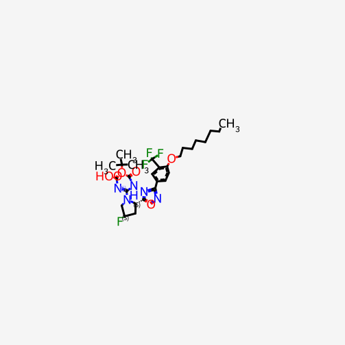 CCCCCCCCOc1ccc(-c2noc([C@@H]3C[C@H](F)CN3/C(=N/C(=O)O)NC(=O)OC(C)(C)C)n2)cc1C(F)(F)F